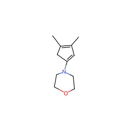 CC1=C(C)CC(N2CCOCC2)=C1